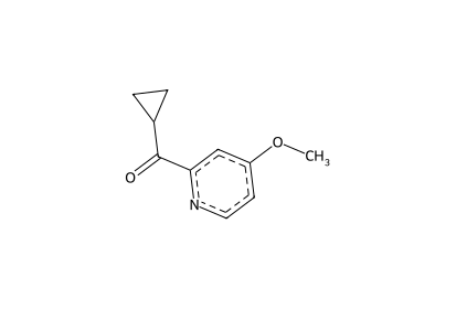 COc1ccnc(C(=O)C2CC2)c1